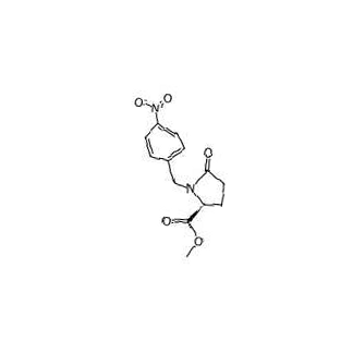 COC(=O)[C@@H]1CCC(=O)N1Cc1ccc([N+](=O)[O-])cc1